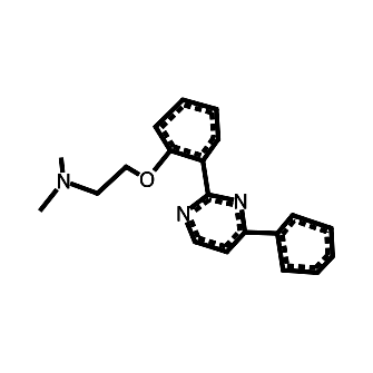 CN(C)CCOc1ccccc1-c1nccc(-c2ccccc2)n1